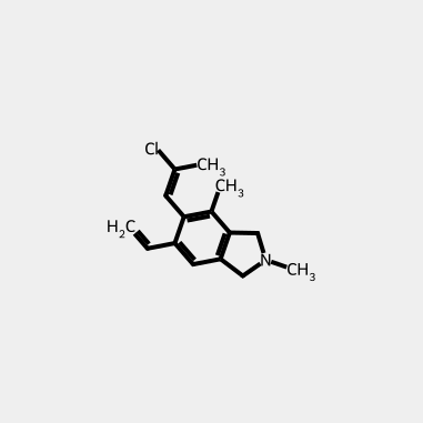 C=Cc1cc2c(c(C)c1/C=C(\C)Cl)CN(C)C2